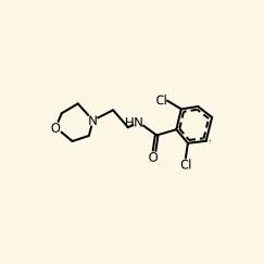 O=C(NCCN1CCOCC1)c1c(Cl)[c]ccc1Cl